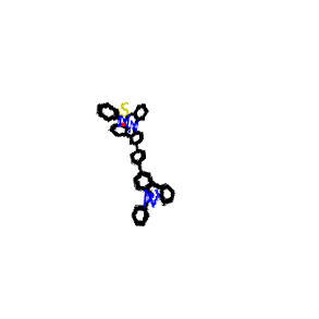 c1ccc(-n2c3ccccc3c3cc(-c4ccc(-c5ccc6c(c5)c5ccccc5n6-c5ccccc5-c5nc6ccccc6s5)cc4)ccc32)cc1